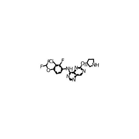 Fc1c(Nc2ncnc3cnc(O[C@H]4CCNC4)nc23)ccc(OC(F)F)c1Cl